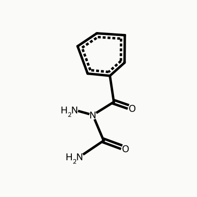 NC(=O)N(N)C(=O)c1ccccc1